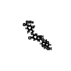 COC(=O)c1cc(F)c(COc2nc3[nH]c(O[C@@H]4CO[C@H]5[C@@H]4OC[C@H]5O)nc3cc2Cl)c(F)c1